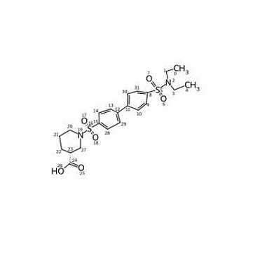 CCN(CC)S(=O)(=O)c1ccc(-c2ccc(S(=O)(=O)N3CCC[C@@H](C(=O)O)C3)cc2)cc1